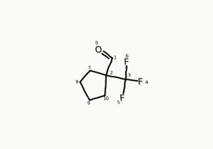 O=CC1(C(F)(F)F)CCCC1